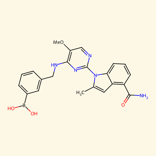 COc1cnc(-n2c(C)cc3c(C(N)=O)cccc32)nc1NCc1cccc(B(O)O)c1